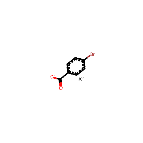 O=C([O-])c1ccc(Br)cc1.[K+]